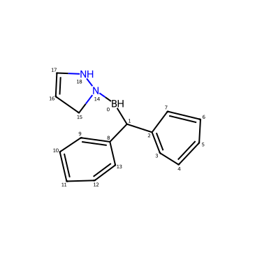 B(C(c1ccccc1)c1ccccc1)N1CC=CN1